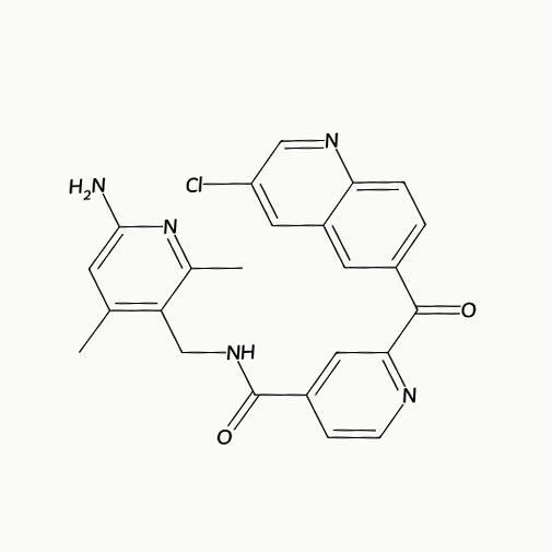 Cc1cc(N)nc(C)c1CNC(=O)c1ccnc(C(=O)c2ccc3ncc(Cl)cc3c2)c1